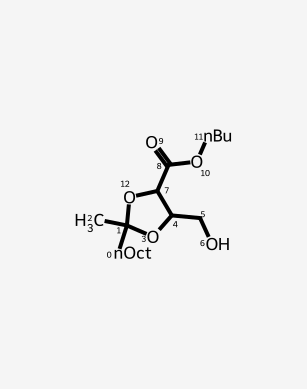 CCCCCCCCC1(C)OC(CO)C(C(=O)OCCCC)O1